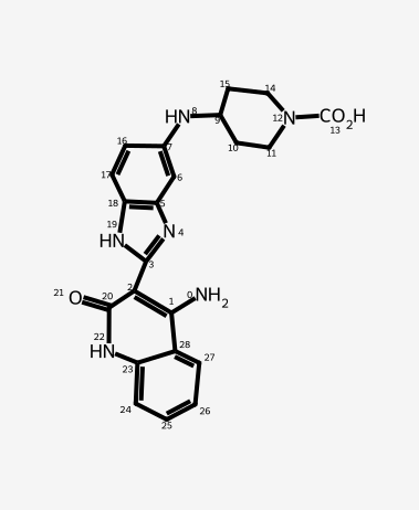 Nc1c(-c2nc3cc(NC4CCN(C(=O)O)CC4)ccc3[nH]2)c(=O)[nH]c2ccccc12